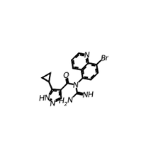 N=C(N)N(C(=O)c1cn[nH]c1C1CC1)c1ccc(Br)c2ncccc12